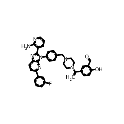 C=C(c1ccc(O)c(C=O)c1)N1CCN(Cc2ccc(-n3c(-c4cccnc4N)nc4ccc(-c5cccc(F)c5)nc43)cc2)CC1